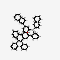 c1ccc(-c2c(-c3ccccc3)c3cc(-c4ccccc4N(c4cccc(-c5ccc6ccccc6c5)c4)c4ccc5ccccc5c4)ccc3c3ccccc23)cc1